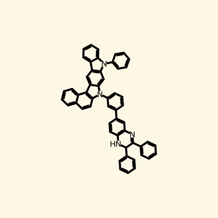 c1ccc(C2=Nc3cc(-c4cccc(-n5c6cc7c(cc6c6c8ccccc8ccc65)c5ccccc5n7-c5ccccc5)c4)ccc3NC2c2ccccc2)cc1